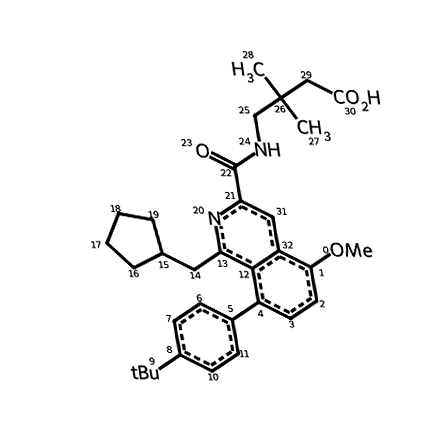 COc1ccc(-c2ccc(C(C)(C)C)cc2)c2c(CC3CCCC3)nc(C(=O)NCC(C)(C)CC(=O)O)cc12